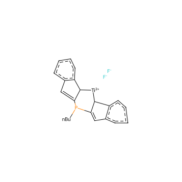 CCCCP1C2=Cc3ccccc3[CH]2[Ti+2][CH]2C1=Cc1ccccc12.[F-].[F-]